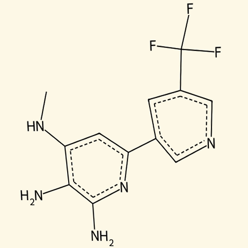 CNc1cc(-c2cncc(C(F)(F)F)c2)nc(N)c1N